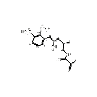 C=C(C)C(=O)OCC(C)CC(O)Cc1cccc(C(=O)O)c1C(=O)O